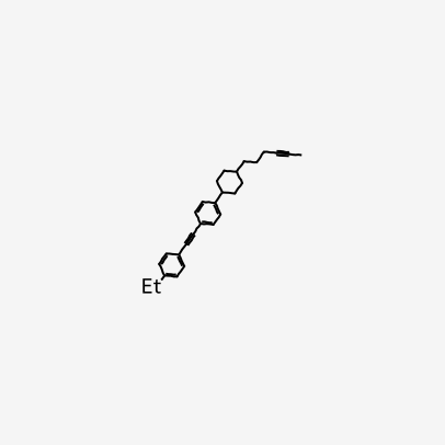 CC#CCCCC1CCC(c2ccc(C#Cc3ccc(CC)cc3)cc2)CC1